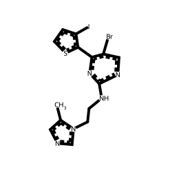 Cc1cncn1CCNc1ncc(Br)c(-c2sccc2I)n1